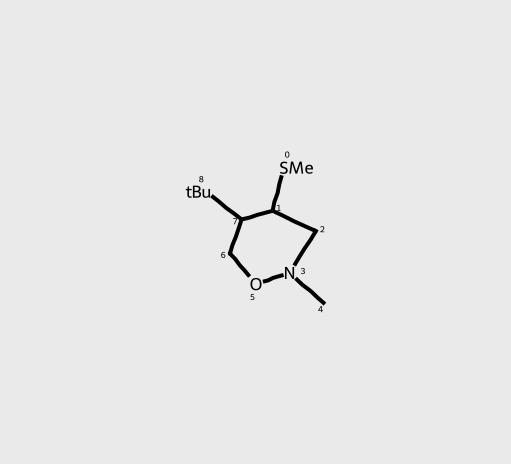 CSC1CN(C)OCC1C(C)(C)C